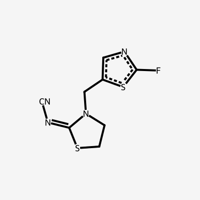 N#C/N=C1/SCCN1Cc1cnc(F)s1